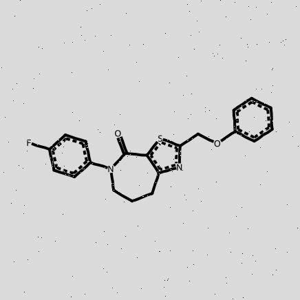 O=C1c2sc(COc3ccccc3)nc2CCCN1c1ccc(F)cc1